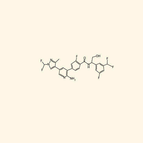 Cc1nn(C(F)F)cc1-c1cnc(N)c(-c2ccc(C(=O)NC(CO)c3cc(F)cc(C(F)F)c3)c(F)c2)c1